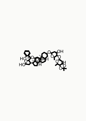 CC1O[C@@H](O[C@H]2CC[C@@]3(C)[C@H](CC[C@@H]4[C@@H]3C[C@@H](O)[C@]3(C)[C@@H](C5CC(O)OC5Cc5ccccc5O)CC[C@]43O)C2)C[C@@H](O)C1O[C@H]1C[C@H]2OC(C)(C)OC2C(C)O1